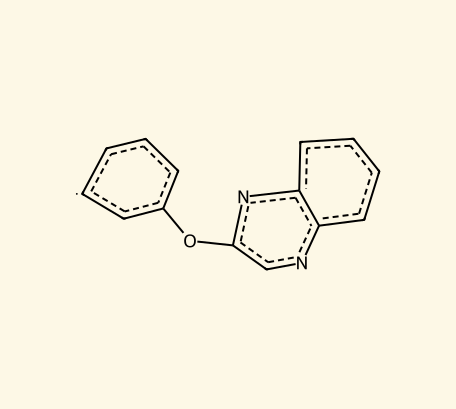 [c]1cccc(Oc2cnc3ccccc3n2)c1